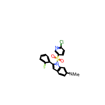 CNc1ccc2cc(-c3ccccc3F)n(S(=O)(=O)c3ccc(Cl)nc3)c2c1